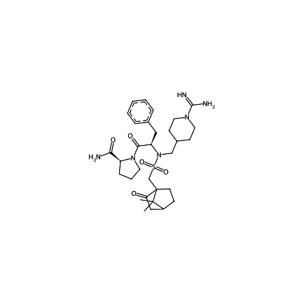 CC1(C)C2CCC1(CS(=O)(=O)N(CC1CCN(C(=N)N)CC1)[C@H](Cc1ccccc1)C(=O)N1CCC[C@H]1C(N)=O)C(=O)C2